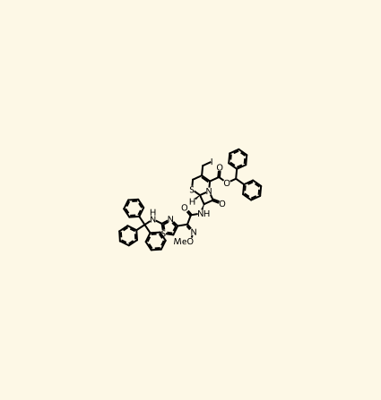 CON=C(C(=O)N[C@@H]1C(=O)N2C(C(=O)OC(c3ccccc3)c3ccccc3)=C(CI)CS[C@@H]12)c1csc(NC(c2ccccc2)(c2ccccc2)c2ccccc2)n1